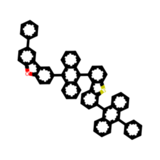 c1ccc(-c2ccc3oc4ccc(-c5c6ccccc6c(-c6cccc7sc8c(-c9c%10ccccc%10c(-c%10ccccc%10)c%10ccccc9%10)cccc8c67)c6ccccc56)cc4c3c2)cc1